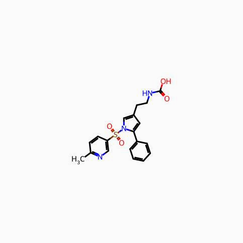 Cc1ccc(S(=O)(=O)n2cc(CCNC(=O)O)cc2-c2ccccc2)cn1